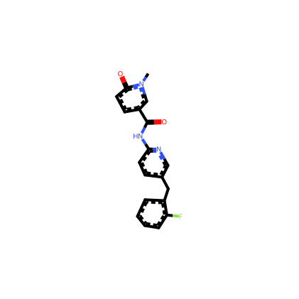 Cn1cc(C(=O)Nc2ccc(Cc3ccccc3F)cn2)ccc1=O